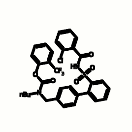 CCCCN(Cc1ccc(-c2ccccc2S(=O)(=O)NC(=O)c2ccccc2Cl)cc1)C(=O)Oc1ccccc1C(F)(F)F